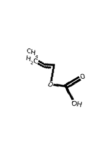 C.C=COC(=O)O